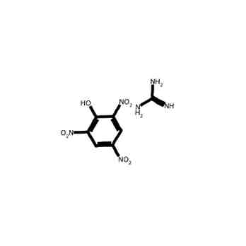 N=C(N)N.O=[N+]([O-])c1cc([N+](=O)[O-])c(O)c([N+](=O)[O-])c1